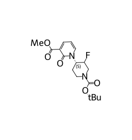 COC(=O)c1cccn([C@H]2CCN(C(=O)OC(C)(C)C)CC2F)c1=O